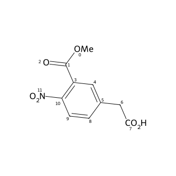 COC(=O)c1cc(CC(=O)O)ccc1[N+](=O)[O-]